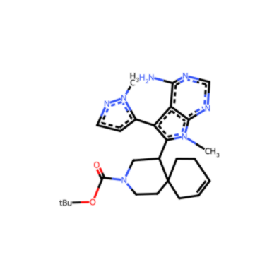 Cn1nccc1-c1c(C2CN(C(=O)OC(C)(C)C)CCC23CC=CCC3)n(C)c2ncnc(N)c12